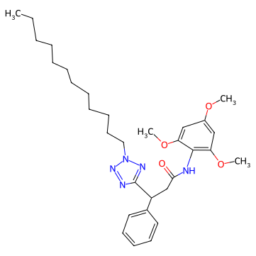 CCCCCCCCCCCCn1nnc(C(CC(=O)Nc2c(OC)cc(OC)cc2OC)c2ccccc2)n1